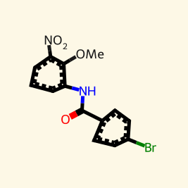 COc1c(NC(=O)c2ccc(Br)cc2)cccc1[N+](=O)[O-]